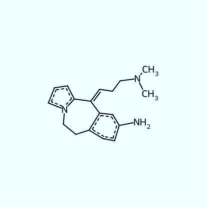 CN(C)CCC=C1c2cc(N)ccc2CCn2cccc21